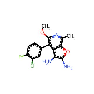 COc1nc(C)c2oc(N)c(N)c2c1-c1ccc(F)c(Cl)c1